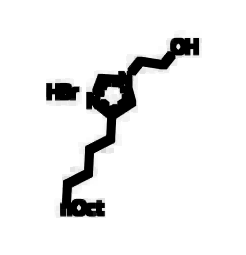 Br.CCCCCCCCCCCCc1cn(CCO)cn1